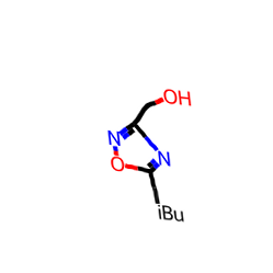 CCC(C)c1nc(CO)no1